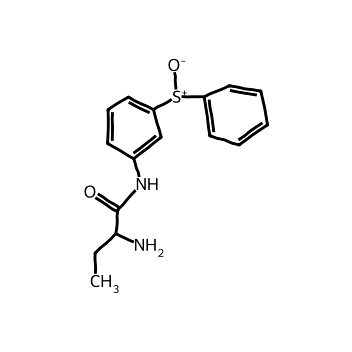 CCC(N)C(=O)Nc1cccc([S+]([O-])c2ccccc2)c1